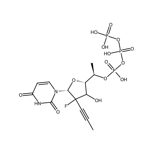 CC#CC1(F)C(O)[C@@H]([C@@H](C)OP(=O)(O)OP(=O)(O)OP(=O)(O)O)O[C@H]1n1ccc(=O)[nH]c1=O